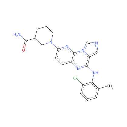 Cc1cccc(Cl)c1Nc1nc2ccc(N3CCCC(C(N)=O)C3)nc2n2cncc12